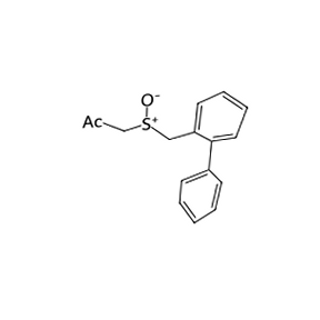 CC(=O)C[S+]([O-])Cc1ccccc1-c1ccccc1